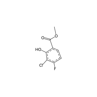 COC(=O)c1ccc(F)c(Cl)c1O